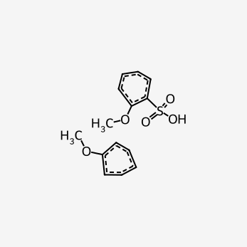 COc1ccccc1.COc1ccccc1S(=O)(=O)O